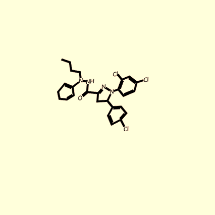 CCCCN(NC(=O)C1=NN(c2ccc(Cl)cc2Cl)C(c2ccc(Cl)cc2)C1)C1=CCCC=C1